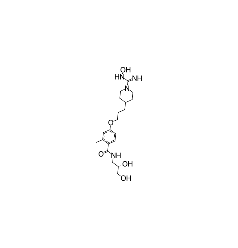 Cc1cc(OCCCC2CCN(C(=N)NO)CC2)ccc1C(=O)NC[C@H](O)CO